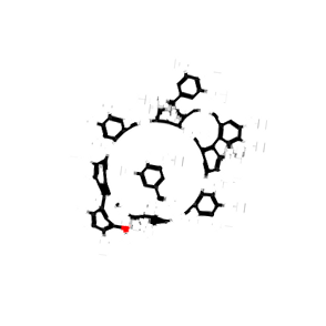 Cc1c(O)cc2c(c1O)Oc1cc3c(c(O)c1O)-c1cc(c(O)c(O)c1O)C(=O)O[C@H]1[C@H](OC(=O)c4cc(O)c(O)c(O)c4)[C@@H](OC(=O)c4cc(O)c(O)c(O)c4Oc4cc5c(c(O)c4O)-c4c(cc(O)c(O)c4O)C(=O)OC[C@H]4O[C@@H](O)[C@H](OC2=O)[C@@H](OC(=O)c2cc(O)c(O)c(O)c2)[C@@H]4OC5=O)[C@H](O)O[C@@H]1COC3=O